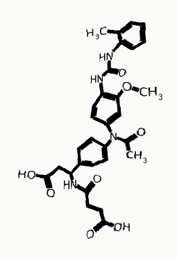 COc1cc(N(C(C)=O)c2ccc(C(CC(=O)O)NC(=O)CCC(=O)O)cc2)ccc1NC(=O)Nc1ccccc1C